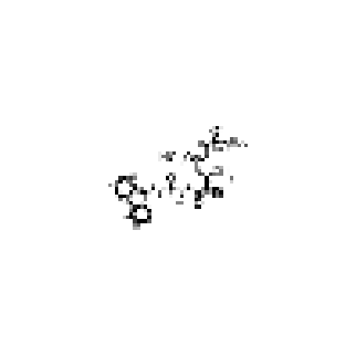 CCC(C(=O)CNC(=O)OCC1c2ccccc2-c2ccccc21)C(C)CC(CCC(=O)OC(C)(C)C)C(=O)O